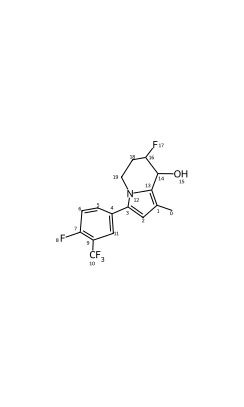 Cc1cc(-c2ccc(F)c(C(F)(F)F)c2)n2c1C(O)C(F)CC2